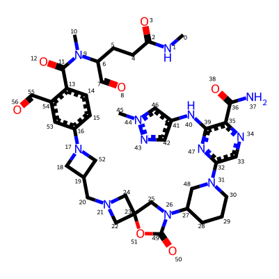 CNC(=O)CCC(C=O)N(C)C(=O)c1ccc(N2CC(CN3CC4(C3)CN(C3CCCN(c5cnc(C(N)=O)c(Nc6cnn(C)c6)n5)C3)C(=O)O4)C2)cc1C=O